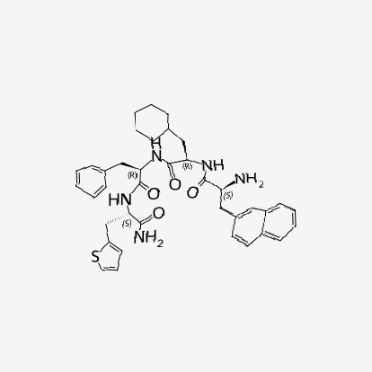 NC(=O)[C@H](Cc1cccs1)NC(=O)[C@@H](Cc1ccccc1)NC(=O)[C@@H](CC1CCCCC1)NC(=O)[C@@H](N)Cc1ccc2ccccc2c1